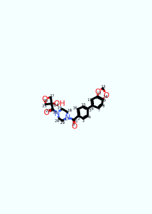 O=C(c1ccc(-c2ccc3c(c2)OCO3)cc1)N1CCN(C(=O)C2(O)COC2)CC1